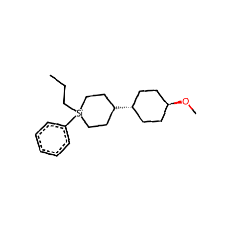 CCC[Si]1(c2ccccc2)CCC([C@H]2CC[C@H](OC)CC2)CC1